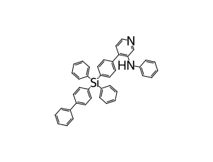 c1ccc(Nc2cnccc2-c2ccc([Si](c3ccccc3)(c3ccccc3)c3ccc(-c4ccccc4)cc3)cc2)cc1